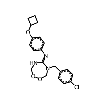 Clc1ccc(CN2COOCN/C2=N\c2ccc(OC3CCC3)cc2)cc1